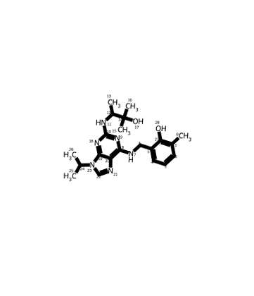 Cc1cccc(CNc2nc(NC(C)C(C)(C)O)nc3c2ncn3C(C)C)c1O